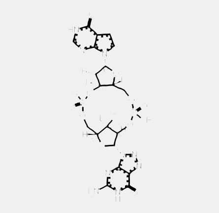 Nc1nc2c(nnn2[C@@H]2S[C@@H]3COP(=O)(S)O[C@H]4[C@H](F)[C@H](n5ccc6c(=O)[nH]cnc65)O[C@@H]4COP(=O)(S)O[C@@H]2[C@@H]3F)c(=O)[nH]1